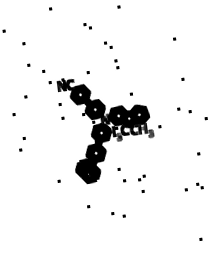 CC1(C)c2ccccc2-c2ccc(N(c3ccc(-c4ccc(C#N)cc4)cc3)c3ccc(-c4ccc(C56CC7CC(CC(C7)C5)C6)cc4)cc3)cc21